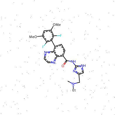 CCN(C)Cc1c[nH]c(NC(=O)c2ccc(-c3c(F)c(OC)cc(OC)c3F)c3nccnc23)n1